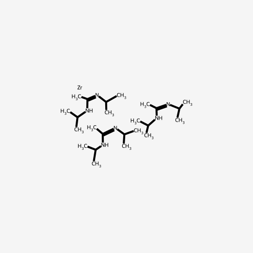 CC(=NC(C)C)NC(C)C.CC(=NC(C)C)NC(C)C.CC(=NC(C)C)NC(C)C.[Zr]